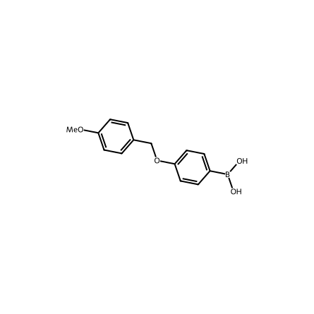 COc1ccc(COc2ccc(B(O)O)cc2)cc1